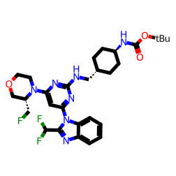 CC(C)(C)OC(=O)N[C@H]1CC[C@H](CNc2nc(N3CCOC[C@H]3CF)cc(-n3c(C(F)F)nc4ccccc43)n2)CC1